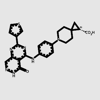 O=C(O)[C@H]1CC12CCN(c1ccc(Nc3nc(-c4ccsc4)nc4cn[nH]c(=O)c34)cc1)CC2